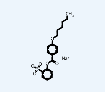 CCCCCCOc1ccc(C(=O)Oc2ccccc2S(=O)(=O)[O-])cc1.[Na+]